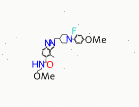 COCCNC(=O)c1ccc2nn(CC3CCN(c4ccc(OC)cc4F)CC3)cc2c1C